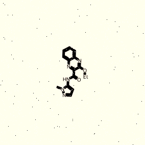 CCOc1nc2ccccc2nc1C(=O)Nc1ccnn1C